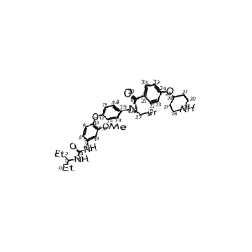 CCC(CC)NC(=O)Nc1ccc(Oc2ccc(N(CC(C)C)C(=O)c3ccc(OC4CCNCC4)cc3)cc2)c(OC)c1